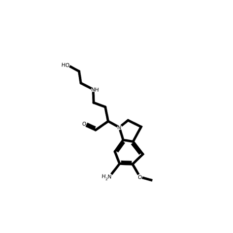 COc1cc2c(cc1N)N(C(C=O)CCNCCO)CC2